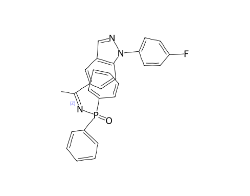 C/C(=N/P(=O)(c1ccccc1)c1ccccc1)c1ccc2c(cnn2-c2ccc(F)cc2)c1